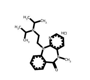 CC(C)N(CCN1c2ccccc2C(=O)N(C)c2cccnc21)C(C)C.Cl